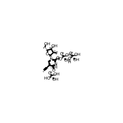 C#Cc1cn([C@@H]2O[C@H](CO)[C@@H](O)C2F)c(=O)[nH]c1=O.O=P(O)(O)O.O=P(O)(O)O.O=P(O)(O)O